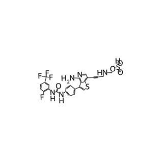 Nc1ncc(C#CCNCO[SH](=O)=O)c2scc(-c3ccc(NC(=O)Nc4cc(C(F)(F)F)ccc4F)cc3)c12